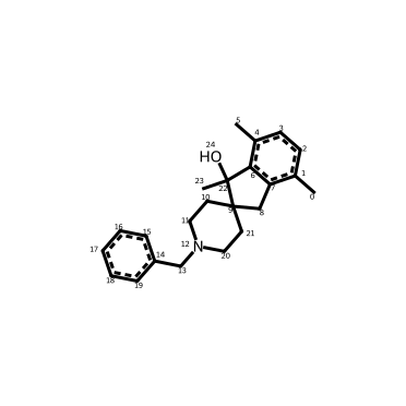 Cc1ccc(C)c2c1CC1(CCN(Cc3ccccc3)CC1)C2(C)O